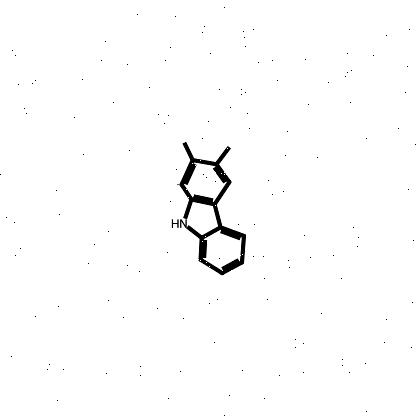 Cc1[c]c2[nH]c3ccccc3c2cc1C